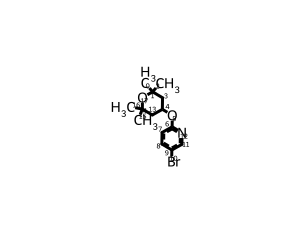 CC1(C)CC(Oc2ccc(Br)cn2)CC(C)(C)O1